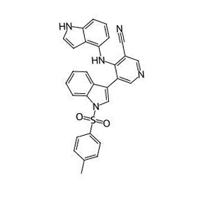 Cc1ccc(S(=O)(=O)n2cc(-c3cncc(C#N)c3Nc3cccc4[nH]ccc34)c3ccccc32)cc1